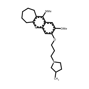 CNc1c2c(nc3cc(OCCCN4CCC(C)C4)c(OC)cc13)CCCCC2